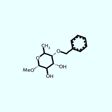 CO[C@@H]1OC(C)[C@H](OCc2ccccc2)[C@H](O)C1O